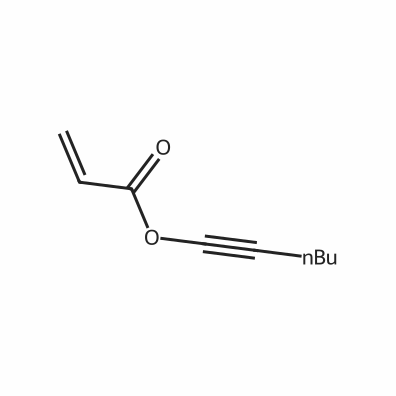 C=CC(=O)OC#CCCCC